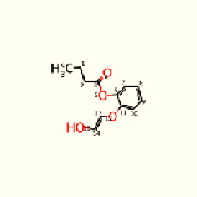 CCCC(=O)Oc1ccccc1OC=CO